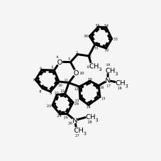 CC(CC1Oc2ccccc2C(c2cccc(N(C)C)c2)(c2cccc(N(C)C)c2)O1)c1ccccc1